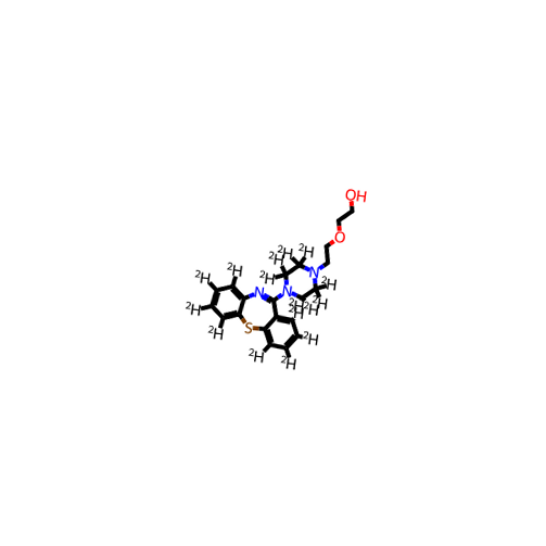 [2H]c1c([2H])c([2H])c2c(c1[2H])N=C(N1C([2H])([2H])C([2H])([2H])N(CCOCCO)C([2H])([2H])C1([2H])[2H])c1c([2H])c([2H])c([2H])c([2H])c1S2